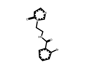 O=C(NCCn1cnccc1=O)c1ccccc1Br